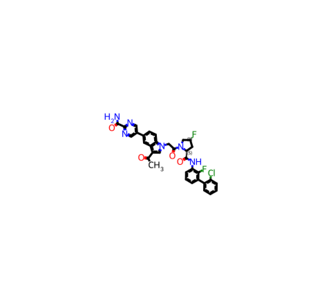 CC(=O)c1cn(CC(=O)N2C[C@H](F)C[C@H]2C(=O)Nc2cccc(-c3ccccc3Cl)c2F)c2ccc(-c3cnc(C(N)=O)nc3)cc12